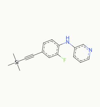 C[Si](C)(C)C#Cc1ccc(Nc2cccnc2)c(F)c1